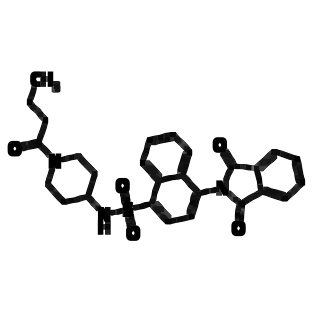 CCCC(=O)N1CCC(NS(=O)(=O)c2ccc(N3C(=O)c4ccccc4C3=O)c3ccccc23)CC1